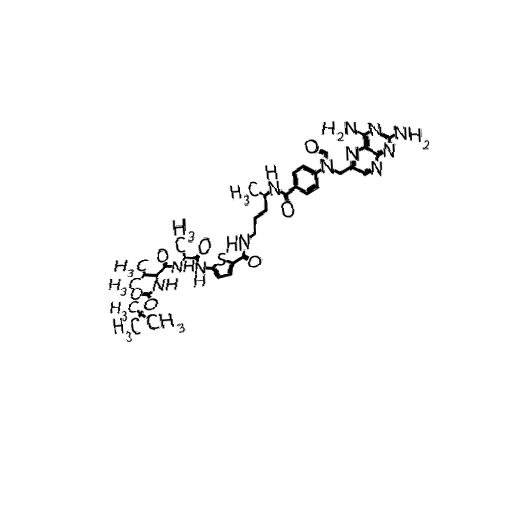 CC(C)[C@H](NC(=O)OC(C)(C)C)C(=O)N[C@@H](C)C(=O)Nc1ccc(C(=O)NCCC[C@@H](C)NC(=O)c2ccc(N(C=O)Cc3cnc4nc(N)nc(N)c4n3)cc2)s1